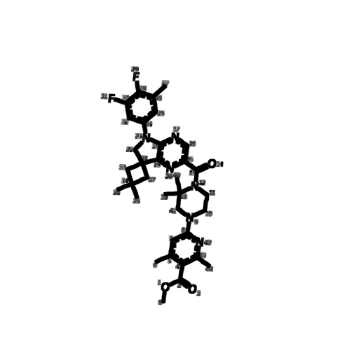 COC(=O)c1c(C)cc(N2CCN(C(=O)c3cnc4c(n3)C3(CN4c4cc(C)c(F)c(F)c4)CC(C)(C)C3)C(C)(C)C2)nc1C